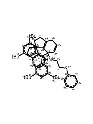 CC(C)(C)c1cc(P(c2cc(C(C)(C)C)cc(C(C)(C)C)c2)C2(NCCSc3ccccc3)C=CCC3=C2C2(CC3)CCc3ccccc32)cc(C(C)(C)C)c1